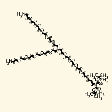 CC(C)(C)OC(=O)N(OCCOCCOCCOCCOCCOCCN(CCOCCOCCOCCOCCOCCN)CCOCCOCCOCCOCCOCCN)C(=O)OC(C)(C)C